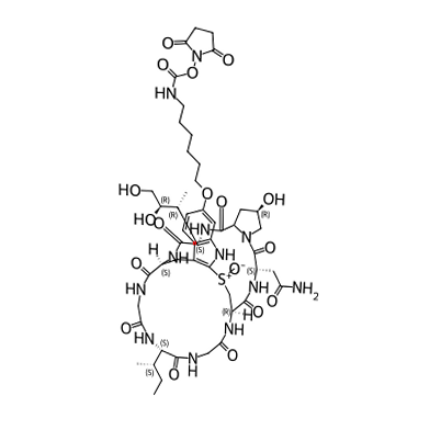 CC[C@H](C)[C@@H]1NC(=O)CNC(=O)[C@@H]2Cc3c([nH]c4cc(OCCCCCCNC(=O)ON5C(=O)CCC5=O)ccc34)[S+]([O-])C[C@H](NC(=O)CNC1=O)C(=O)N[C@@H](CC(N)=O)C(=O)N1C[C@H](O)CC1C(=O)N[C@@H]([C@@H](C)[C@@H](O)CO)C(=O)N2